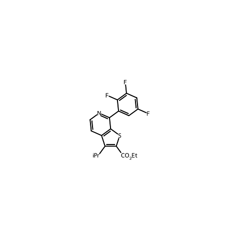 CCOC(=O)c1sc2c(-c3cc(F)cc(F)c3F)nccc2c1C(C)C